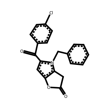 O=C1Cc2c(cc(C(=O)c3ccc(Cl)cc3)n2Cc2ccccc2)O1